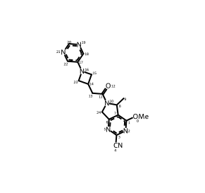 COc1nc(C#N)nc2c1C(C)N(C(=O)CC1CN(c3cncnc3)C1)C2